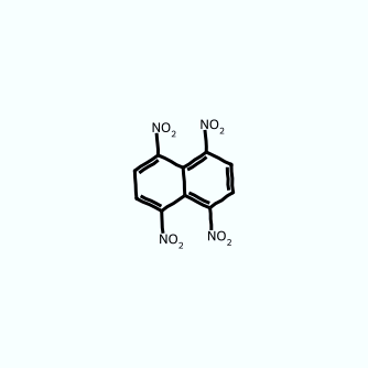 O=[N+]([O-])c1ccc([N+](=O)[O-])c2c([N+](=O)[O-])ccc([N+](=O)[O-])c12